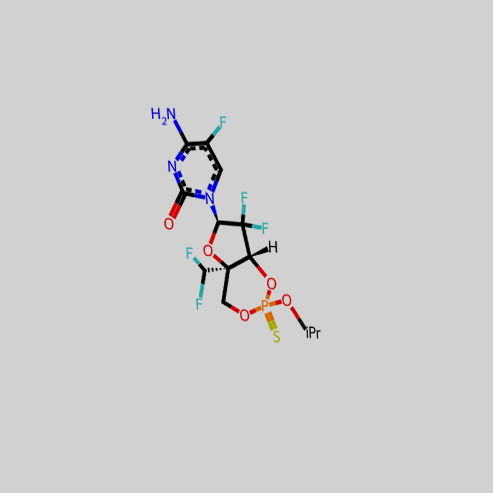 CC(C)OP1(=S)OC[C@@]2(C(F)F)O[C@@H](n3cc(F)c(N)nc3=O)C(F)(F)[C@@H]2O1